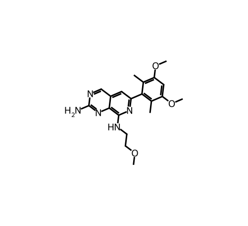 COCCNc1nc(-c2c(C)c(OC)cc(OC)c2C)cc2cnc(N)nc12